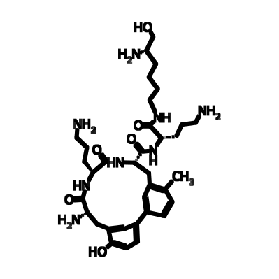 Cc1ccc2cc1C[C@@H](C(=O)N[C@@H](CCCN)C(=O)NCCCC[C@H](N)CO)NC(=O)[C@H](CCCN)NC(=O)[C@@H](N)Cc1cc-2ccc1O